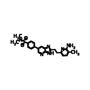 Cc1ccc(CCc2nc3cc(-c4ccc(S(=O)(=O)N(C)C)cc4)cnc3[nH]2)nc1N